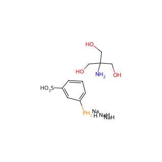 NC(CO)(CO)CO.O=S(=O)(O)c1cccc(P)c1.[NaH].[NaH].[NaH]